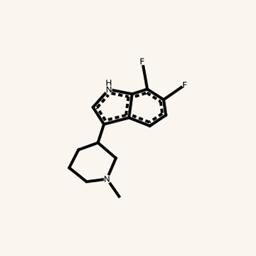 CN1CCCC(c2c[nH]c3c(F)c(F)ccc23)C1